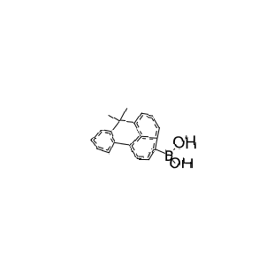 CC1(C)c2ccccc2-c2ccc(B(O)O)c3cccc1c23